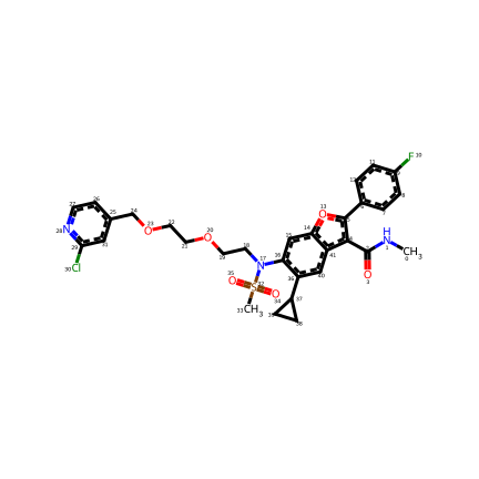 CNC(=O)c1c(-c2ccc(F)cc2)oc2cc(N(CCOCCOCc3ccnc(Cl)c3)S(C)(=O)=O)c(C3CC3)cc12